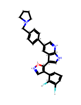 Fc1cccc(-c2cnoc2-c2c[nH]c3ncc(-c4ccc(CN5CCCC5)cc4)cc23)c1F